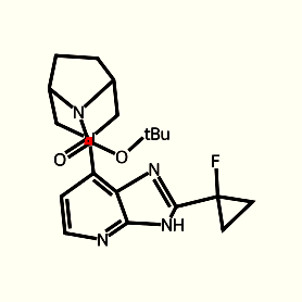 CC(C)(C)OC(=O)N1C2CCC1CN(c1ccnc3[nH]c(C4(F)CC4)nc13)C2